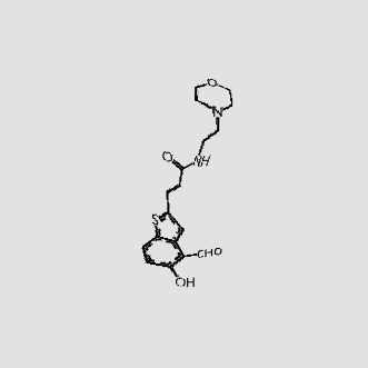 O=Cc1c(O)ccc2sc(CCC(=O)NCCN3CCOCC3)cc12